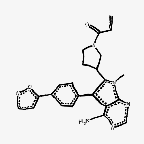 C=CC(=O)N1CCC(c2c(-c3ccc(-c4ccno4)cc3)c3c(N)ncnc3n2C)C1